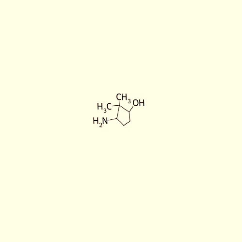 CC1(C)C(N)CCC1O